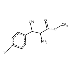 COC(=O)C(N)C(O)c1ccc(Br)cc1